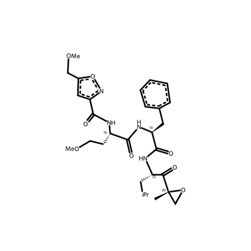 COCC[C@H](NC(=O)c1cc(COC)on1)C(=O)N[C@@H](Cc1ccccc1)C(=O)N[C@@H](CC(C)C)C(=O)[C@@]1(C)CO1